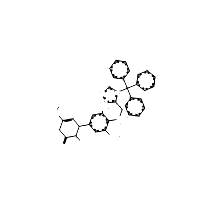 COc1cc(C2C=C(OC(F)(F)F)CC(=O)C2C)cc(F)c1OCc1nncn1C(c1ccccc1)(c1ccccc1)c1ccccc1